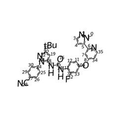 Cn1nccc1-c1cc(Oc2ccc(NC(=O)Nc3cc(C(C)(C)C)nn3-c3ccc(C#N)cc3)c(F)c2)ccn1